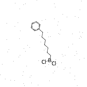 ClB(Cl)CCCCCCCc1ccccc1